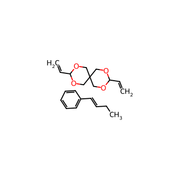 C=CC1OCC2(CO1)COC(C=C)OC2.CCC=Cc1ccccc1